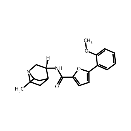 COc1ccccc1-c1ccc(C(=O)N[C@H]2CN3CCC2CC3C)o1